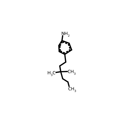 CCCC(C)(C)CCc1ccc(N)cc1